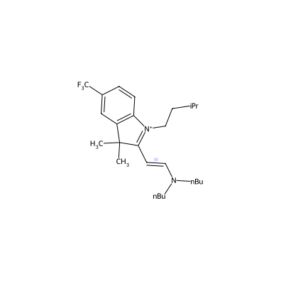 CCCCN(/C=C/C1=[N+](CCC(C)C)c2ccc(C(F)(F)F)cc2C1(C)C)CCCC